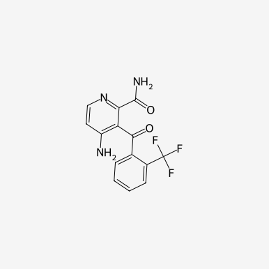 NC(=O)c1nccc(N)c1C(=O)c1ccccc1C(F)(F)F